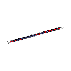 N=N/N=N/N=N/N=N/N=N/N=N/N=N/N=N/N=N/N=N/N=N/N=N/N=N/N=N/N=N/N=N/N=N/N=N/N=N/N=N/N=N/N=N/N=N/N=N/N=N/N=N/N=N/N=N/N=N/N=N/N=N/N=N/N=N/N=N/N=N/N=N/N=N/N=N/N